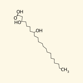 CCCCCCCCCCCCCCC(O)CCCCC(O)CC(=O)O